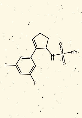 CCCS(=O)(=O)NC1CCC=C1c1cc(F)cc(F)c1